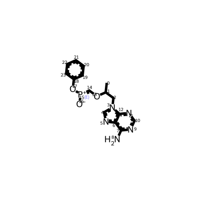 CC(Cn1cnc2c(N)ncnc21)O/C=[P+](\[O-])Oc1ccccc1